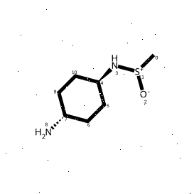 C[S+]([O-])N[C@H]1CC[C@H](N)CC1